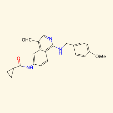 COc1ccc(CNc2ncc(C=O)c3cc(NC(=O)C4CC4)ccc23)cc1